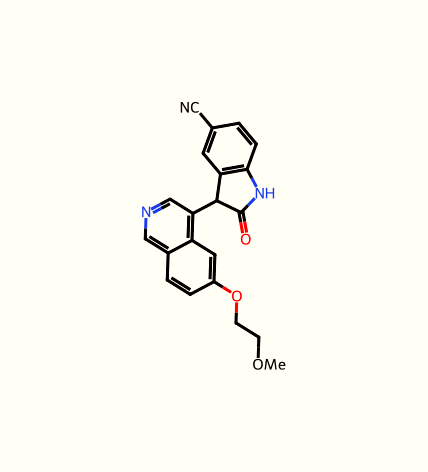 COCCOc1ccc2cncc(C3C(=O)Nc4ccc(C#N)cc43)c2c1